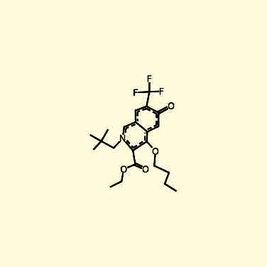 CCCCOc1c2cc(=O)c(C(F)(F)F)cc-2cn(CC(C)(C)C)c1C(=O)OCC